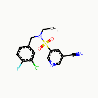 CCN(Cc1ccc(F)c(Cl)c1)S(=O)(=O)c1cncc(C#N)c1